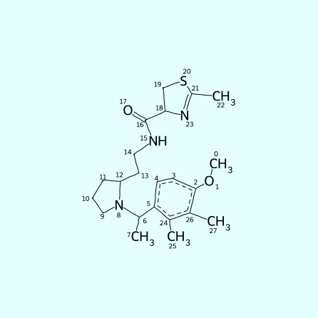 COc1ccc(C(C)N2CCCC2CCNC(=O)C2CSC(C)=N2)c(C)c1C